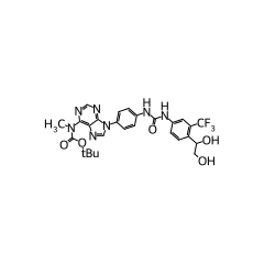 CN(C(=O)OC(C)(C)C)c1ncnc2c1ncn2-c1ccc(NC(=O)Nc2ccc(C(O)CO)c(C(F)(F)F)c2)cc1